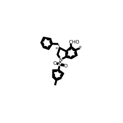 Cc1ccc(S(=O)(=O)N2C[C@H](Cc3ccccc3)c3c2ccc(F)c3C=O)cc1